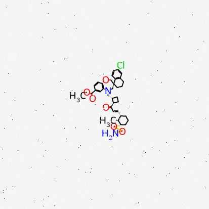 COC(=O)c1ccc2c(c1)N(C[C@@H]1CC[C@H]1C(=O)/C=C/[C@@H]1CCC[C@@H](S(N)(=O)=O)[C@H]1C)C[C@@]1(CCCc3cc(Cl)ccc31)CO2